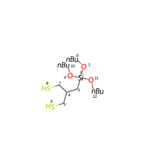 CCCCO[Si](CC(CS)CS)(OCCCC)OCCCC